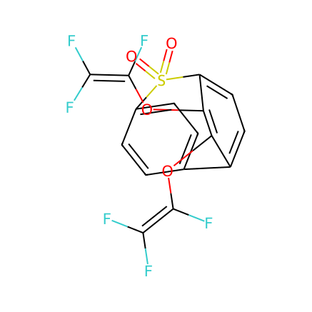 O=S1(=O)c2ccc(cc2)-c2ccc1c(OC(F)=C(F)F)c2OC(F)=C(F)F